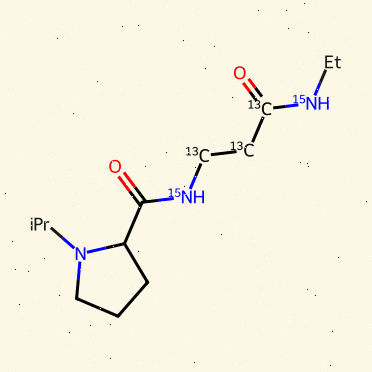 C[13CH](C)N1CCCC1C(=O)[15NH][13CH2][13CH2][13C](=O)[15NH][13CH2][13CH3]